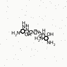 C[N+]1(CC(=O)Nc2c(N)cc(N)cc2O)CCN(CC(=O)Nc2c(N)cc(N)cc2O)CC1